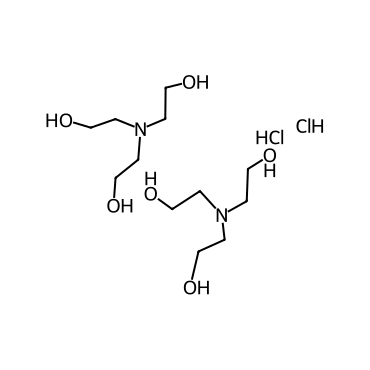 Cl.Cl.OCCN(CCO)CCO.OCCN(CCO)CCO